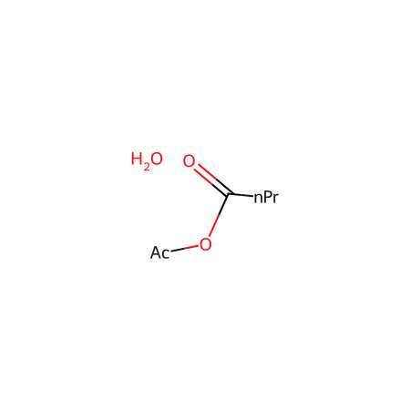 CCCC(=O)OC(C)=O.O